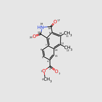 COC(=O)c1ccc2c3c(c(C)c(C)c2c1)C(=O)NC3=O